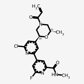 C=CC(=O)N1C[C@H](C)O[C@@H](c2cc(Cl)nc(-c3cc(F)nc(C(=O)NC)c3)c2)C1